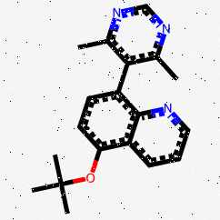 Cc1ncnc(C)c1-c1ccc(OC(C)(C)C)c2cccnc12